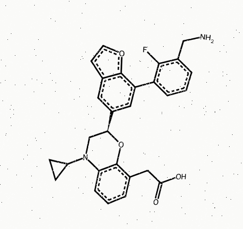 NCc1cccc(-c2cc([C@@H]3CN(C4CC4)c4cccc(CC(=O)O)c4O3)cc3ccoc23)c1F